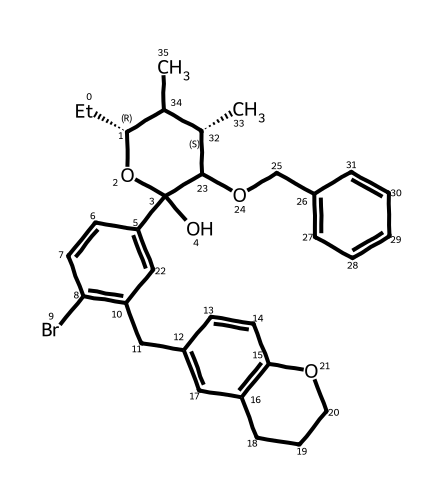 CC[C@H]1OC(O)(c2ccc(Br)c(Cc3ccc4c(c3)CCCO4)c2)C(OCc2ccccc2)[C@@H](C)C1C